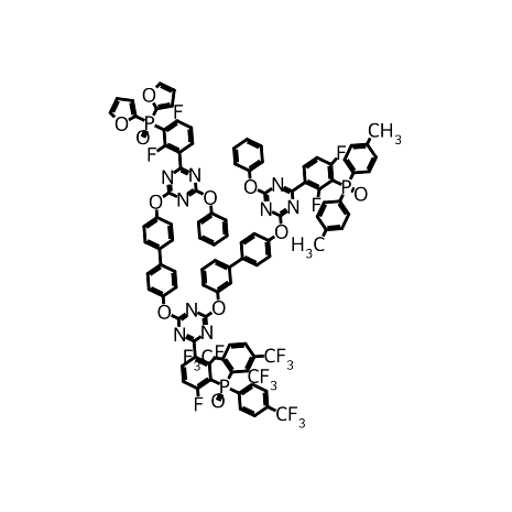 Cc1ccc(P(=O)(c2ccc(C)cc2)c2c(F)ccc(-c3nc(Oc4ccccc4)nc(Oc4ccc(-c5cccc(Oc6nc(Oc7ccc(-c8ccc(Oc9nc(Oc%10ccccc%10)nc(-c%10ccc(F)c(P(=O)(c%11ccco%11)c%11ccco%11)c%10F)n9)cc8)cc7)nc(-c7ccc(F)c(P(=O)(c8ccc(C(F)(F)F)cc8C(F)(F)F)c8cc(C(F)(F)F)ccc8C(F)(F)F)c7F)n6)c5)cc4)n3)c2F)cc1